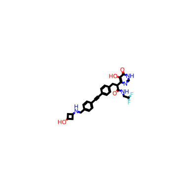 O=C(NCC(F)F)C(Cc1ccc(C#Cc2ccc(CNC3CC(O)C3)cc2)cc1)c1nc[nH]c(=O)c1O